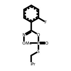 CON=C(OP(C)(=O)SCC(C)C)c1ccccc1F